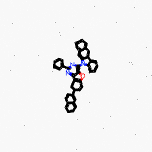 c1ccc(-c2nc(-n3c4ccccc4c4cc5ccccc5cc43)c3oc4ccc(-c5ccc6ccccc6c5)cc4c3n2)cc1